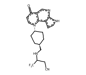 N#CCC(NC[C@H]1CC[C@H](n2ccc(=O)c3cnc4[nH]ccc4c32)CC1)C(F)(F)F